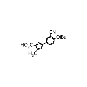 Cc1cc(-c2ccc(OCC(C)C)c(C#N)c2)sc1C(=O)O